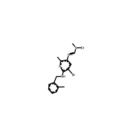 CCN(C)/C=N/c1cc(Br)c(NCc2ccccc2C)nc1C